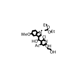 CCOC(C)OCC.COc1ccc2c(c1)c(C(O)c1c(C(C)=O)ccnc1Cl)cn2C.OCCO